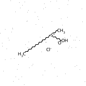 CCCCCCCCCCCCCCCC[S+](CCCC)CCCCC(=O)O.[Cl-]